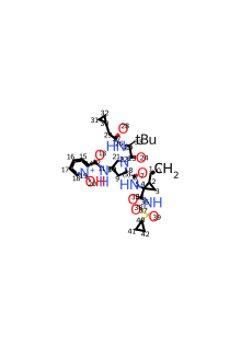 C=CC1CC1(NC(=O)[C@@H]1C[C@@H](NC(=O)c2cccc[n+]2O)CN1C(=O)[C@@H](NC(=O)CC1CC1)C(C)(C)C)C(=O)NS(=O)(=O)C1CC1